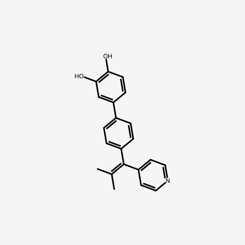 CC(C)=C(c1ccncc1)c1ccc(-c2ccc(O)c(O)c2)cc1